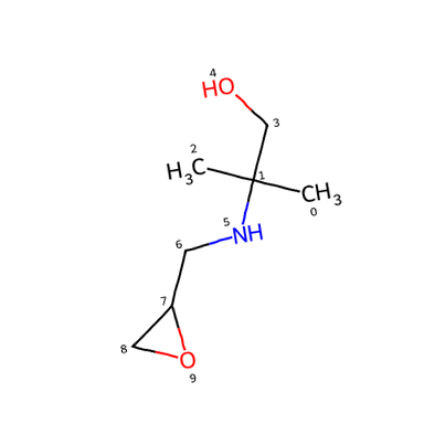 CC(C)(CO)NCC1CO1